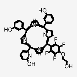 OCCOc1c(F)c(F)c(-c2c3nc(c(-c4cccc(O)c4)c4ccc([nH]4)c(-c4cccc(O)c4)c4nc(c(-c5cccc(O)n5)c5ccc2[nH]5)C=C4)C=C3)c(F)c1F